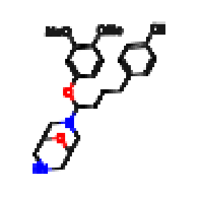 COc1ccc(OC(CCCc2ccc(C#N)cc2)N2CC3CNCC(C2)O3)cc1OC